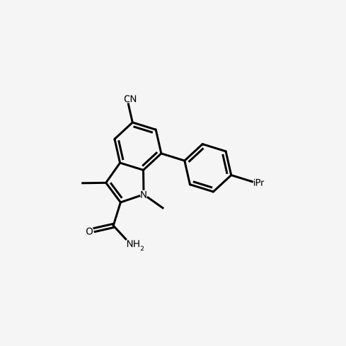 Cc1c(C(N)=O)n(C)c2c(-c3ccc(C(C)C)cc3)cc(C#N)cc12